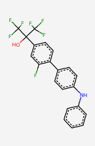 OC(c1ccc(-c2ccc(Nc3ccccc3)cc2)c(F)c1)(C(F)(F)F)C(F)(F)F